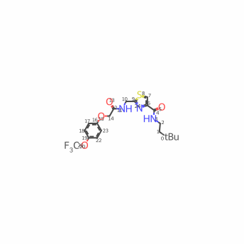 CC(C)(C)CCNC(=O)c1csc(CNC(=O)COc2ccc(OC(F)(F)F)cc2)n1